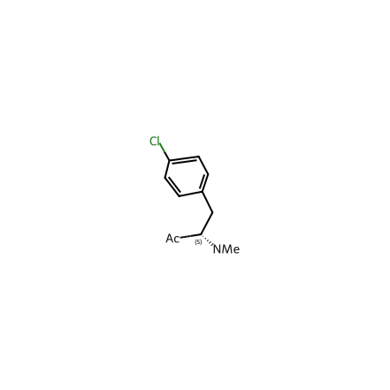 CN[C@@H](Cc1ccc(Cl)cc1)C(C)=O